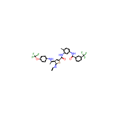 C=C/N=C1/SC(C(=O)Nc2cc(NC(=O)c3cccc(C(F)(F)F)c3)ccc2C)=C/C1=C(/C)Nc1ccc(OC(F)(F)F)cc1